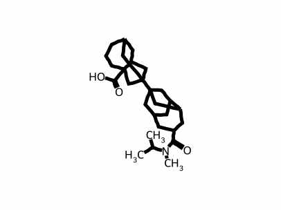 CC(C)N(C)C(=O)C1CC2CC3CC(C45CC6CCCC(C(=O)O)(C4)C(C6)C5)(C2)CC3C1